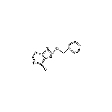 O=c1[nH]ccc2nn(OCc3ccccc3)cc12